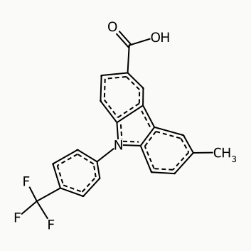 Cc1ccc2c(c1)c1cc(C(=O)O)ccc1n2-c1ccc(C(F)(F)F)cc1